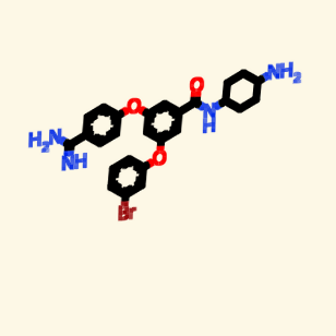 N=C(N)c1ccc(Oc2cc(Oc3cccc(Br)c3)cc(C(=O)NC3CCC(N)CC3)c2)cc1